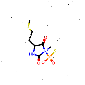 CSCCC1NC(=O)[N+](C)(P(=O)(O)[S-])C1=O